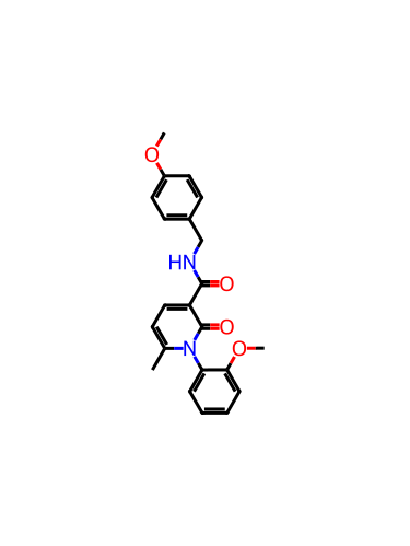 COc1ccc(CNC(=O)c2ccc(C)n(-c3ccccc3OC)c2=O)cc1